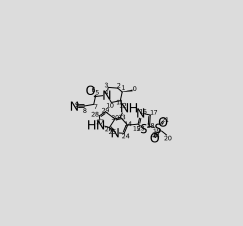 C[C@@H]1CCN(C(=O)CC#N)C[C@@H]1Nc1c(-c2ncc(S(C)(=O)=O)s2)cnc2[nH]ccc12